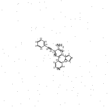 Nc1nc(-c2ccco2)c(-c2ccncc2)nc1C#Cc1ccccc1